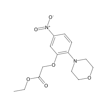 CCOC(=O)COc1cc([N+](=O)[O-])ccc1N1CCOCC1